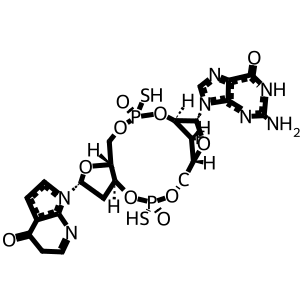 Nc1nc2c(ncn2[C@@H]2O[C@@H]3COP(=O)(S)O[C@H]4C[C@H](n5ccc6c5N=CCC6=O)O[C@@H]4COP(=O)(S)O[C@@H]2[C@@H]3F)c(=O)[nH]1